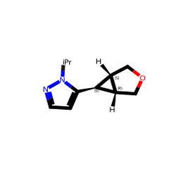 CC(C)n1nccc1[C@H]1[C@@H]2COC[C@@H]21